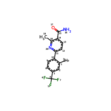 [2H]c1cc(C(F)(F)F)ccc1-c1ccc(C(N)=O)c(C)n1